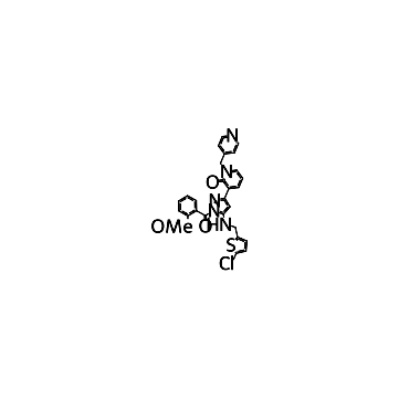 COc1ccccc1C(=O)n1nc(-c2cccn(Cc3ccncc3)c2=O)cc1NCc1ccc(Cl)s1